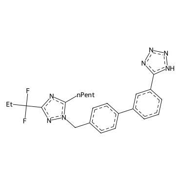 CCCCCc1nc(C(F)(F)CC)nn1Cc1ccc(-c2cccc(-c3nnn[nH]3)c2)cc1